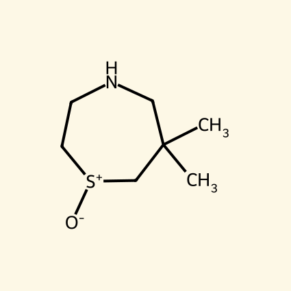 CC1(C)CNCC[S+]([O-])C1